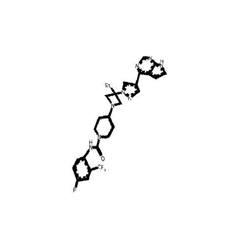 CCC1(n2cc(-c3ncnc4[nH]ccc34)cn2)CN(C2CCN(C(=O)Nc3ccc(F)cc3C(F)(F)F)CC2)C1